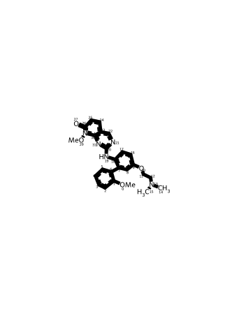 COc1ccccc1-c1cc(OCCN(C)C)ccc1Nc1ncc2ccc(=O)n(OC)c2n1